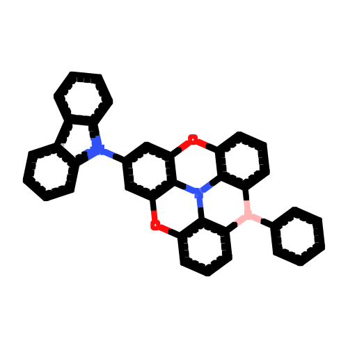 c1ccc(B2c3cccc4c3N3c5c(cc(-n6c7ccccc7c7ccccc76)cc5Oc5cccc2c53)O4)cc1